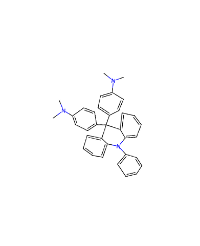 CN(C)c1ccc(C2(c3ccc(N(C)C)cc3)c3ccccc3N(c3ccccc3)c3ccccc32)cc1